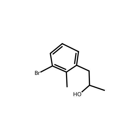 Cc1c(Br)cccc1CC(C)O